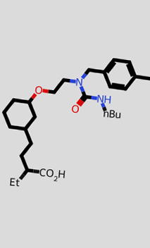 CCCCNC(=O)N(CCOC1CCCC(CCC(CC)C(=O)O)C1)Cc1ccc(C)cc1